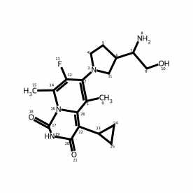 Cc1c(N2CCC(C(N)CO)C2)c(F)c(C)n2c(=O)[nH]c(=O)c(C3CC3)c12